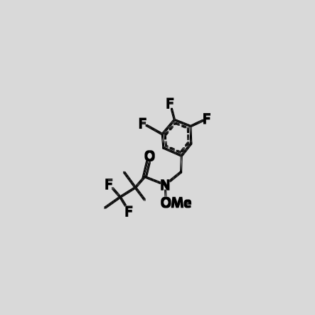 CON(Cc1cc(F)c(F)c(F)c1)C(=O)C(C)(C)C(C)(F)F